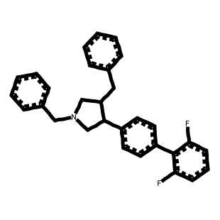 Fc1cccc(F)c1-c1ccc(C2CN(Cc3ccccc3)CC2Cc2ccccc2)cc1